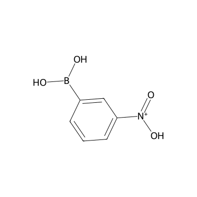 O=[N+](O)c1cccc(B(O)O)c1